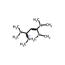 C/N=C(/C=C(N(C)C)N(C)C)N(C)C